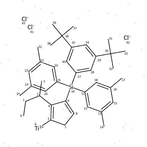 CCC(C)C1=[C]([Ti+3])CC=C1[Si](c1cc(C)cc(C)c1)(c1cc(C)cc(C)c1)c1cc(C(C)(C)C)cc(C(C)(C)C)c1.[Cl-].[Cl-].[Cl-]